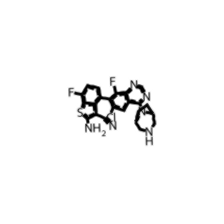 N#Cc1c(N)sc2c(F)ccc(-c3c(Cl)cc4c(N5C6CCC5CNC6)ncnc4c3F)c12